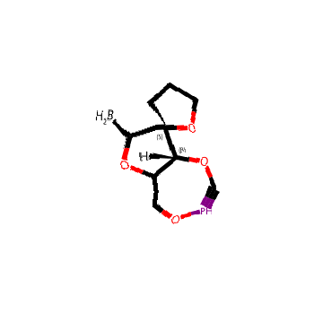 BC1OC2CO[PH]#CO[C@H]2[C@]12CCCO2